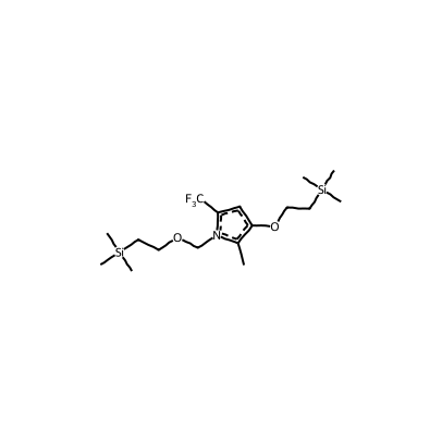 Cc1c(OCC[Si](C)(C)C)cc(C(F)(F)F)n1COCC[Si](C)(C)C